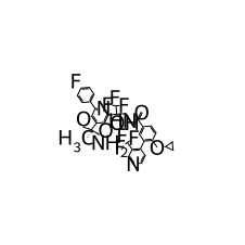 C[C@]1(C(N)=O)COc2c1cc([C@@](O)(CNC(=O)c1ccc(OC3CC3)c(-c3ccncc3C(F)(F)F)c1)C(F)(F)F)nc2-c1ccc(F)cc1